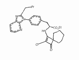 CCOC(=O)[C@H](Cc1ccc(-n2c(CC(C)C)nc3cccnc32)cc1)NC1=C(Cl)C(=O)C12CCCCC2